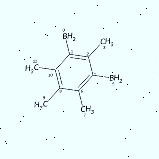 Bc1c(C)c(B)c(C)c(C)c1C